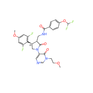 COCCn1cncc(N2C[C@@H](c3c(F)cc(OC)cc3F)C(CNC(=O)c3ccc(OC(F)F)cc3)C2=O)c1=O